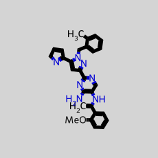 C=C(Nc1cnc(-c2cc(C3=NCC=C3)n(Cc3ccccc3C)n2)nc1N)c1ccccc1OC